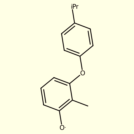 Cc1c([O])cccc1Oc1ccc(C(C)C)cc1